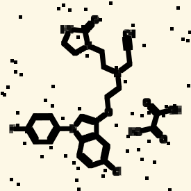 C#CCN(CCOc1cn(-c2ccc(F)cc2)c2ccc(Cl)cc12)CCN1CCNC1=O.O=C(O)C(=O)O